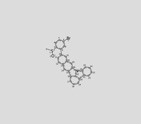 C[S+]([O-])c1ccc(Br)cc1-c1ccc2cc3c4cccc5c6ccccc6n(c3cc2c1)c54